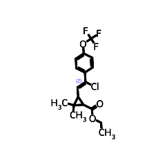 CCOC(=O)C1C(/C=C(\Cl)c2ccc(OC(F)(F)F)cc2)C1(C)C